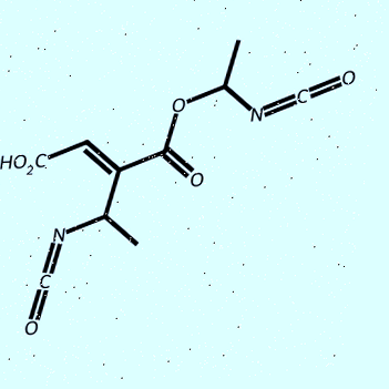 CC(N=C=O)OC(=O)C(=CC(=O)O)C(C)N=C=O